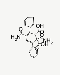 NC(=O)C1=C(c2ccccc2)C(C(=O)O)C(C(N)=O)(C(=O)O)C(c2ccccc2)=C1